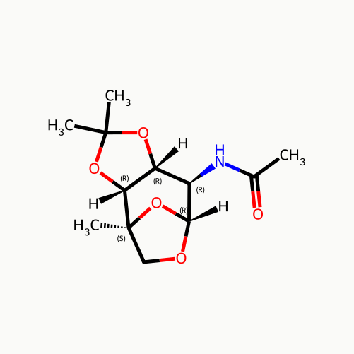 CC(=O)N[C@H]1[C@@H]2OC[C@](C)(O2)[C@@H]2OC(C)(C)O[C@H]12